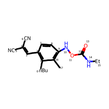 CCCCc1c(C=C(C#N)C#N)ccc(NOC(=O)NCC)c1C